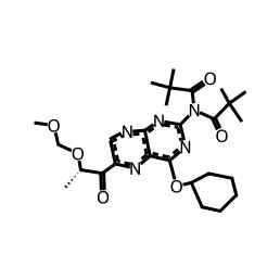 COCO[C@@H](C)C(=O)c1cnc2nc(N(C(=O)C(C)(C)C)C(=O)C(C)(C)C)nc(OC3CCCCC3)c2n1